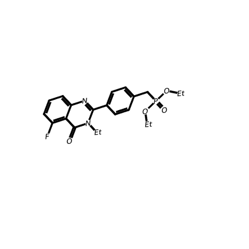 CCOP(=O)(Cc1ccc(-c2nc3cccc(F)c3c(=O)n2CC)cc1)OCC